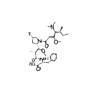 CC[C@H](C)[C@@H](C(CC(=O)N1CC(F)C[C@H]1C(OC)[C@@H](C)C(=O)N[C@@H](Cc1ccccc1)C(=O)O)OC)N(C)C